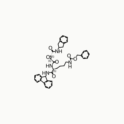 O=C(NCCCC[C@H](NC(=O)[C@H]1O[C@@H]1C(=O)NC1Cc2ccccc2C1)C(=O)NC1c2ccccc2-c2ccccc21)OCc1ccccc1